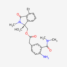 CCc1cccc2c1C(=O)N(C)[C@]2(COC(=O)Cc1ccc(N)c(C(=O)N(C)C)c1)C(=O)O